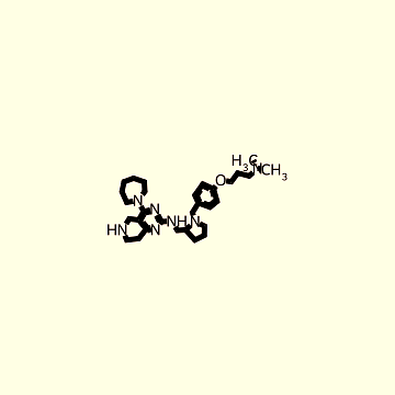 CN(C)CCCOc1ccc(CN2CCCC2CNc2nc3c(c(N4CCCCCC4)n2)CNCC3)cc1